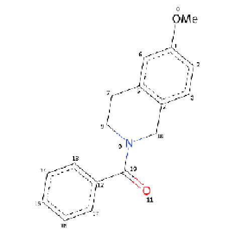 COc1ccc2c(c1)CCN(C(=O)c1ccccc1)C2